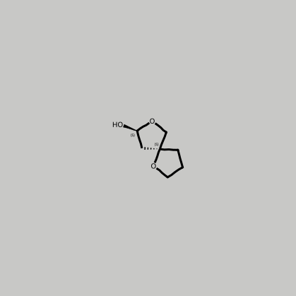 O[C@@H]1C[C@@]2(CCCO2)CO1